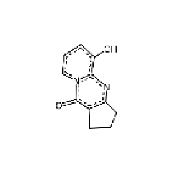 O=c1c2c(nc3c(O)cccn13)CCC2